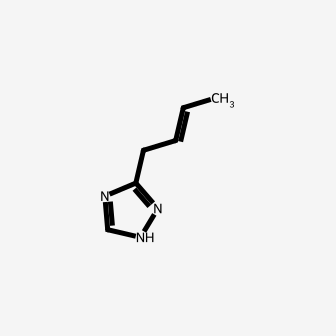 CC=CCc1nc[nH]n1